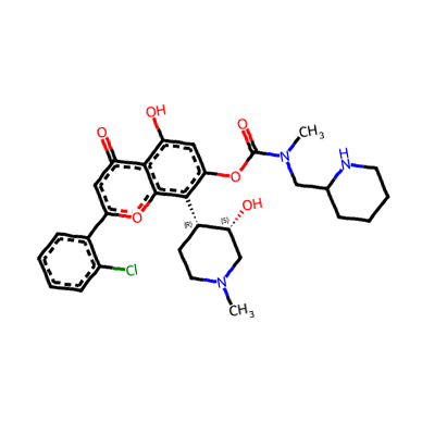 CN1CC[C@H](c2c(OC(=O)N(C)CC3CCCCN3)cc(O)c3c(=O)cc(-c4ccccc4Cl)oc23)[C@H](O)C1